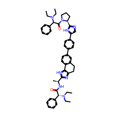 CCN(CC)C(C(=O)N1CCC[C@H]1c1ncc(-c2ccc(-c3ccc4c(c3)CCc3nc([C@H](C)NC(=O)[C@@H](c5ccccc5)N(CC)CC)[nH]c3-4)cc2)[nH]1)c1ccccc1